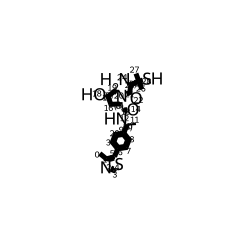 Cc1ncsc1-c1ccc([C@H](C)NC(=O)[C@@H]2C[C@@H](O)CN2C(=O)[C@@H](N)C(C)(C)S)cc1